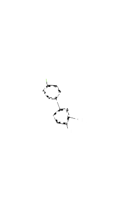 Cc1ccc(-c2ccc(F)cc2)cc1C(F)(F)F